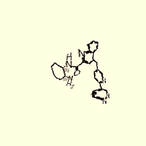 N[C@H]1CCCC[C@@H]1NC(=O)c1cc(Cc2ccc(-c3ccnnc3)nc2)c2ccccc2n1